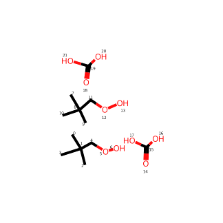 CC(C)(C)COO.CC(C)(C)COO.O=C(O)O.O=C(O)O